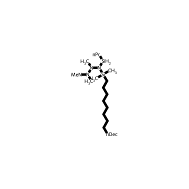 CCCCCCCCCCCCCCCCCC[Si](C)(C)N([SiH2]CCC)N(C)N(C)NC